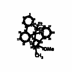 CCC1(CC)[n+]2ccccc2-c2ccccc2C12c1ccc(C)c(OC)c1-c1cccc[n+]12